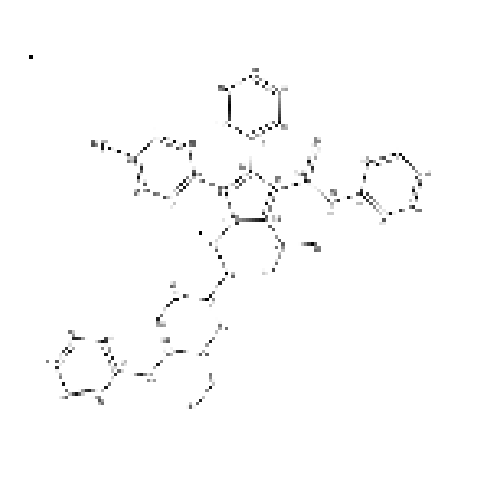 CC[C@@H](C[C@@H](CCn1c(-c2ccc(F)cc2)c(-c2ccccc2)c(C(=O)Nc2ccccc2)c1C(C)C)OC)OCc1ccccc1